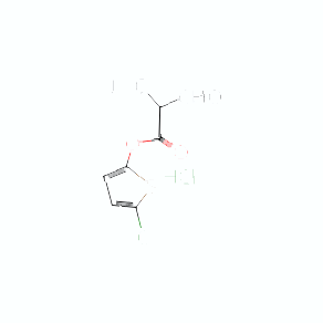 CC(C=O)C(=O)Oc1ccc(Cl)s1.Cl